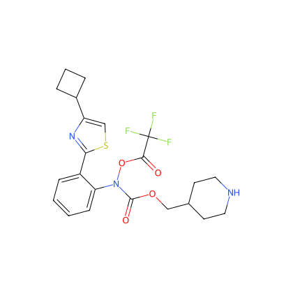 O=C(OCC1CCNCC1)N(OC(=O)C(F)(F)F)c1ccccc1-c1nc(C2CCC2)cs1